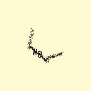 CCCCCCCCCCCCCC(CC)CCCCOC(=O)C=CC(=O)OCCCCC(CC)CCCCCCCCCCCCC